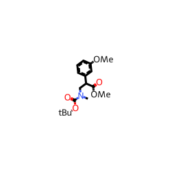 COC(=O)C(CN(C)C(=O)OC(C)(C)C)c1cccc(OC)c1